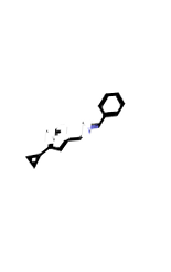 C(=N\Cc1cc(C2CC2)no1)/c1ccccc1